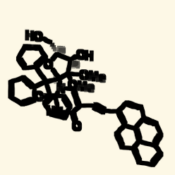 COC1(OC)[C@H](O)[C@@H](CO)O[C@]1(n1cc(C#Cc2ccc3ccc4cccc5ccc2c3c45)c(=O)[nH]c1=O)C(c1ccccc1)(c1ccccc1)c1ccccc1